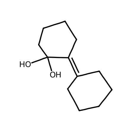 OC1(O)CCCCC1=C1CCCCC1